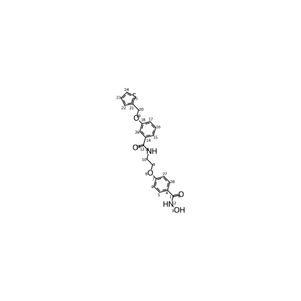 O=C(NO)c1ccc(OCCNC(=O)c2cccc(OCc3cccs3)c2)cc1